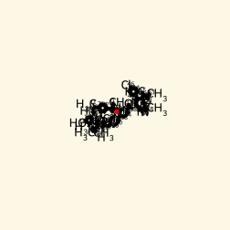 Cc1ncsc1-c1ccc([C@H](C)NC(=O)[C@@H]2C[C@@H](O)CN2C(=O)[C@@H](NC(=O)CN2CCN(C3CCN(C(=O)C[C@@H]4N=C(c5ccc(Cl)cc5)c5c(sc(C)c5C)-n5c(C)nnc54)CC3)C[C@@H]2C)C(C)(C)C)cc1